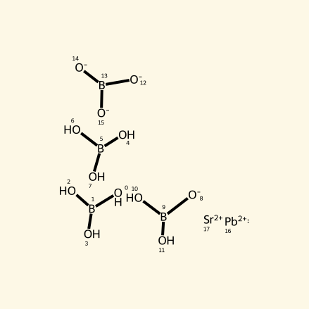 OB(O)O.OB(O)O.[O-]B(O)O.[O-]B([O-])[O-].[Pb+2].[Sr+2]